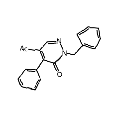 CC(=O)c1cnn(Cc2ccccc2)c(=O)c1-c1ccccc1